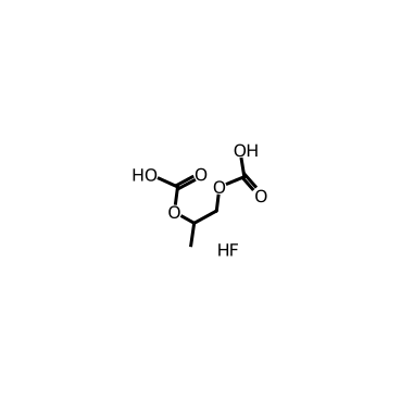 CC(COC(=O)O)OC(=O)O.F